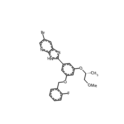 COC[C@@H](C)Oc1cc(OCc2ccccc2F)cc(-c2nc3cc(Br)cnc3[nH]2)c1